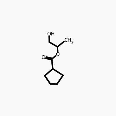 [CH2]C(CO)OC(=O)C1CCCC1